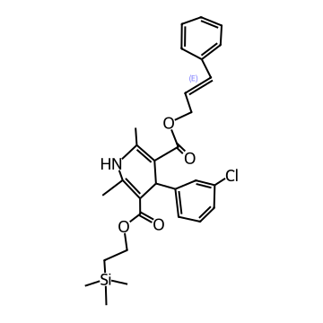 CC1=C(C(=O)OC/C=C/c2ccccc2)C(c2cccc(Cl)c2)C(C(=O)OCC[Si](C)(C)C)=C(C)N1